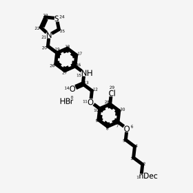 Br.CCCCCCCCCCCCCCOc1ccc(OCC(=O)Nc2ccc(CN3C=CSC3)cc2)c(Cl)c1